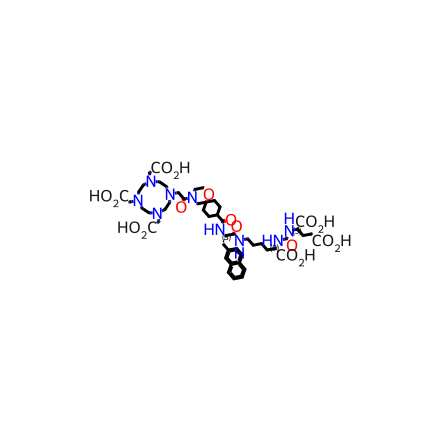 O=C(O)CC[C@H](NC(=O)N[C@@H](CCCCNC(=O)[C@H](Cc1ccc2ccccc2c1)NC(=O)C1CCC2(CC1)CN(C(=O)CN1CCN(CC(=O)O)CCN(CC(=O)O)CCN(CC(=O)O)CC1)CCO2)C(=O)O)C(=O)O